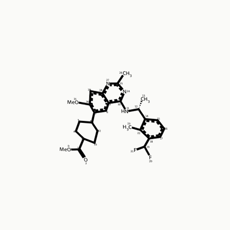 COC(=O)C1CCC(c2cc3c(N[C@H](C)c4cccc(C(F)F)c4C)nc(C)nc3cc2OC)CC1